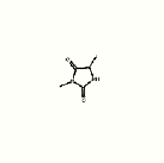 CN1C(=O)NC(I)C1=O